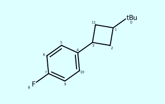 CC(C)(C)C1CC(c2ccc(F)cc2)C1